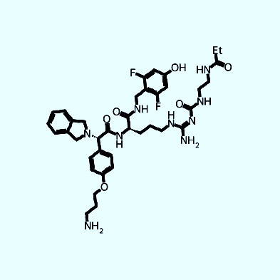 CCC(=O)NCCNC(=O)/N=C(/N)NCCC[C@@H](NC(=O)[C@H](c1ccc(OCCCN)cc1)N1Cc2ccccc2C1)C(=O)NCc1c(F)cc(O)cc1F